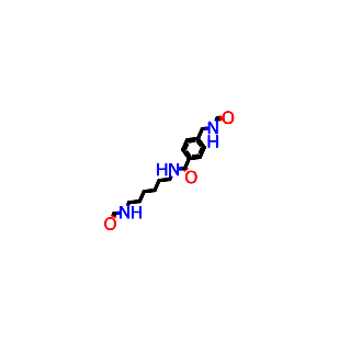 O=CNCCCCCCNC(=O)c1ccc(CNC=O)cc1